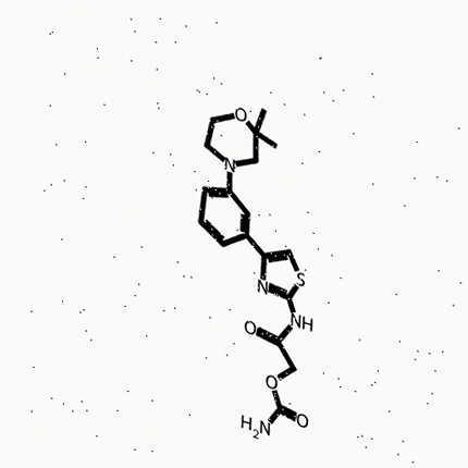 CC1(C)CN(c2cccc(-c3csc(NC(=O)COC(N)=O)n3)c2)CCO1